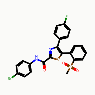 CS(=O)(=O)c1ccccc1-c1sc(C(=O)Nc2ccc(Br)cc2)nc1-c1ccc(F)cc1